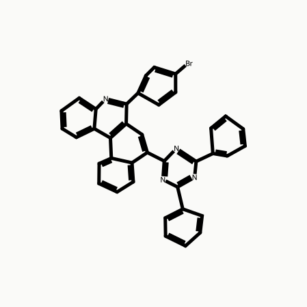 Brc1ccc(-c2nc3ccccc3c3c2cc(-c2nc(-c4ccccc4)nc(-c4ccccc4)n2)c2ccccc23)cc1